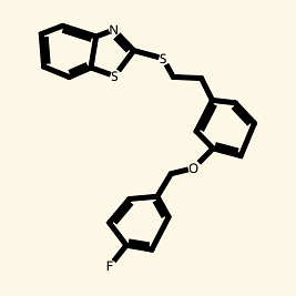 Fc1ccc(COc2cccc(CCSc3nc4ccccc4s3)c2)cc1